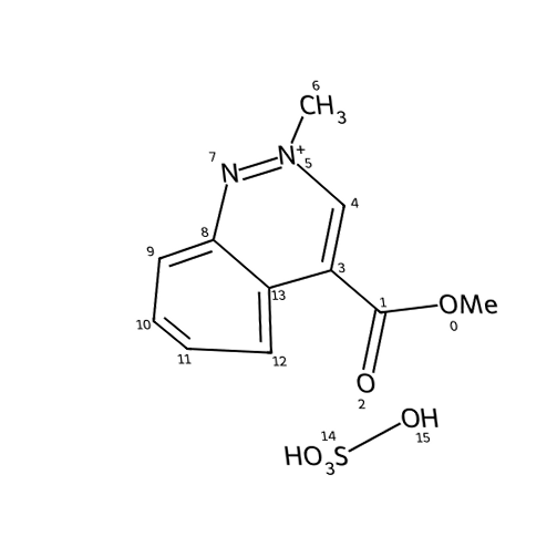 COC(=O)c1c[n+](C)nc2ccccc12.O=S(=O)(O)O